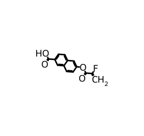 C=C(F)C(=O)Oc1ccc2cc(C(=O)O)ccc2c1